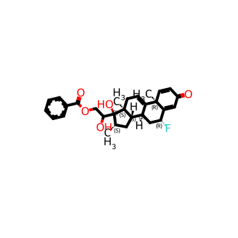 C[C@H]1C[C@H]2[C@@H]3C[C@@H](F)C4=CC(=O)C=C[C@]4(C)C3=CC[C@]2(C)[C@@]1(O)C(O)COC(=O)c1ccccc1